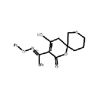 CCC/C(=N\OCC)C1=C(O)CC2(CCCSC2)OC1=O